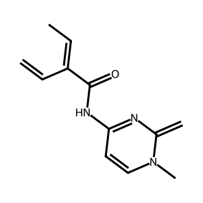 C=C/C(=C\C)C(=O)NC1=NC(=C)N(C)C=C1